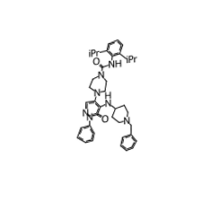 CC(C)c1cccc(C(C)C)c1NC(=O)N1CCN(c2cnn(-c3ccccc3)c(=O)c2NC2CCN(Cc3ccccc3)CC2)CC1